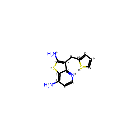 Nc1sc2c(N)ccnc2c1Cc1cccs1